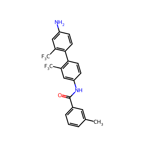 Cc1cccc(C(=O)Nc2ccc(-c3ccc(N)cc3C(F)(F)F)c(C(F)(F)F)c2)c1